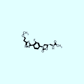 COCCc1nnc(-c2ccc(N3C[C@H](CNC(C)=O)OC3=O)cc2F)s1